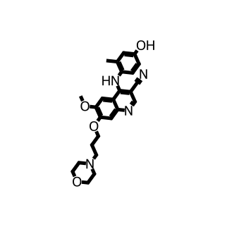 COc1cc2c(Nc3ccc(O)cc3C)c(C#N)cnc2cc1OCCCN1CCOCC1